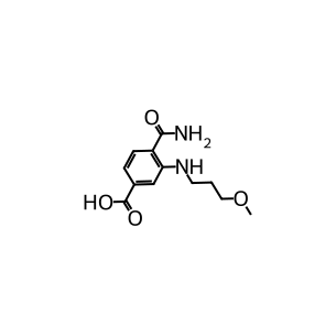 COCCCNc1cc(C(=O)O)ccc1C(N)=O